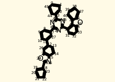 c1ccc(-c2nc(-c3cccc(-c4ccc5nc(-c6ccccc6)oc5c4)c3)nc(-c3cccc4oc5ccccc5c34)n2)cc1